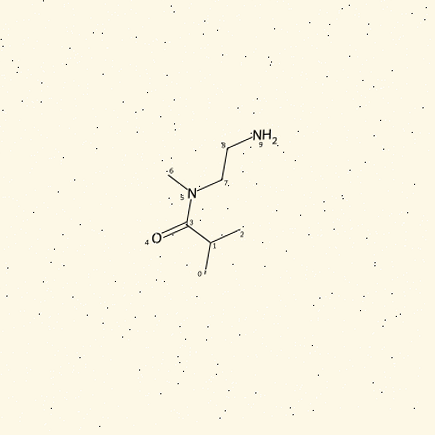 CC(C)C(=O)N(C)CCN